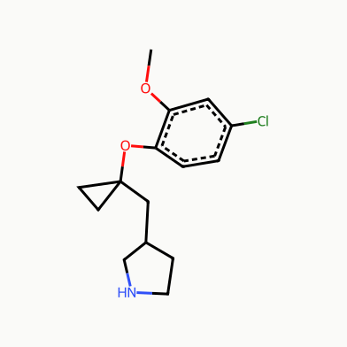 COc1cc(Cl)ccc1OC1(CC2CCNC2)CC1